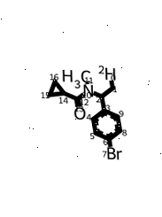 [2H]CC(c1ccc(Br)cc1)N(C)C(=O)C1CC1